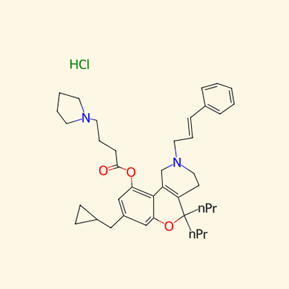 CCCC1(CCC)Oc2cc(CC3CC3)cc(OC(=O)CCCN3CCCC3)c2C2=C1CCN(CC=Cc1ccccc1)C2.Cl